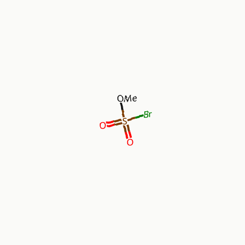 COS(=O)(=O)Br